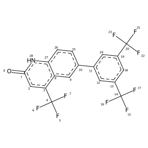 O=c1cc(C(F)(F)F)c2cc(-c3cc(C(F)(F)F)cc(C(F)(F)F)c3)ccc2[nH]1